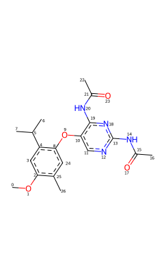 COc1cc(C(C)C)c(Oc2cnc(NC(C)=O)nc2NC(C)=O)cc1C